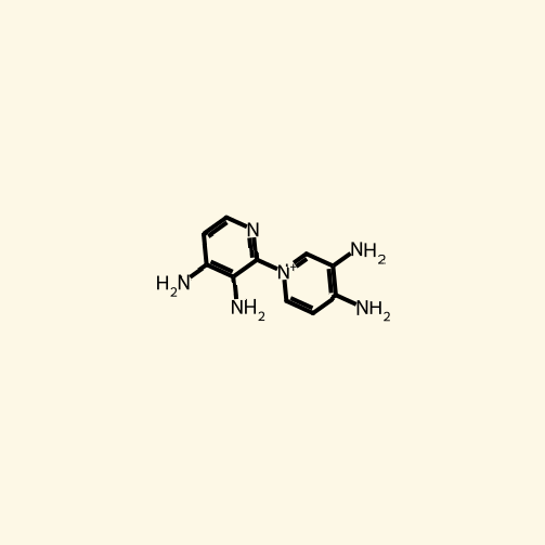 Nc1cc[n+](-c2nccc(N)c2N)cc1N